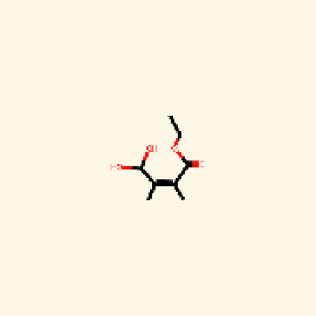 CCOC(=O)C(C)=C(C)C(O)O